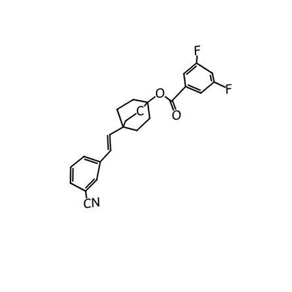 N#Cc1cccc(/C=C/C23CCC(OC(=O)c4cc(F)cc(F)c4)(CC2)CC3)c1